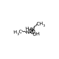 CCCCCNCC(CCO)OC(=O)NCCCCC